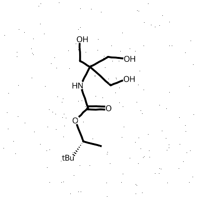 C[C@@H](OC(=O)NC(CO)(CO)CO)C(C)(C)C